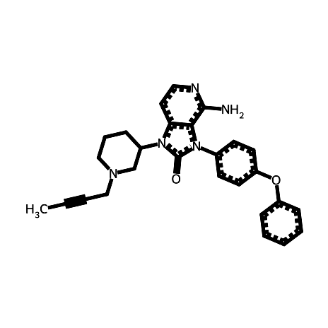 CC#CCN1CCCC(n2c(=O)n(-c3ccc(Oc4ccccc4)cc3)c3c(N)nccc32)C1